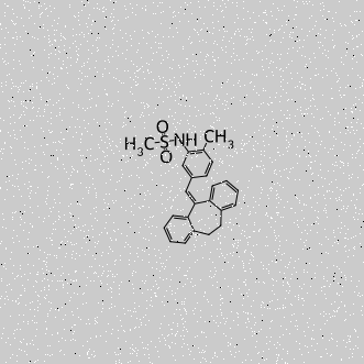 Cc1ccc(C=C2c3ccccc3CCc3ccccc32)cc1NS(C)(=O)=O